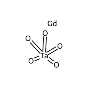 [Gd].[O]=[Ta](=[O])(=[O])(=[O])=[O]